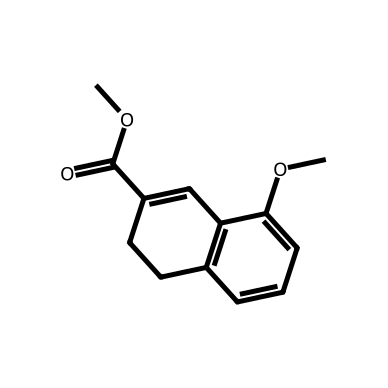 COC(=O)C1=Cc2c(cccc2OC)CC1